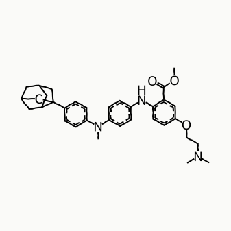 COC(=O)c1cc(OCCN(C)C)ccc1Nc1ccc(N(C)c2ccc(C34CC5CC(CC3C5)C4)cc2)cc1